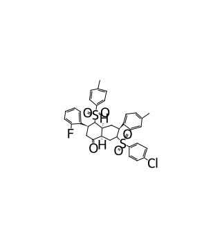 Cc1ccc([C@@H]2C[C@@H]3C(S(=O)(=O)c4ccc(C)cc4)[C@H](c4ccccc4F)CC(=O)[C@@H]3CC2S(=O)(=O)c2ccc(Cl)cc2)cc1